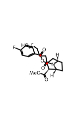 COC(=O)[C@H]1[C@@H](OC(=O)c2ccc(F)cc2)C[C@@H]2CC[C@H]1N2C(=O)CCCC(=O)O